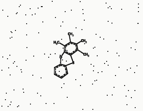 Cc1c(C)c(C)c2c(c1C)Oc1ccccc1S2